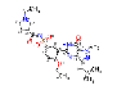 CCOc1ccc(S(=O)(=O)NC(=O)C2CCN(CC)C2)cc1-c1nc2c(CC(C)C)nn(C)c2c(=O)[nH]1